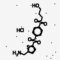 Cl.NCc1ccc(S(=O)(=O)c2ccc(S(=O)(=O)CCCO)cc2)s1